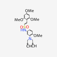 C#CCN(CC#C)c1cc(NS(=O)(=O)C=Cc2c(OC)cc(OC)cc2OC)ccc1OC